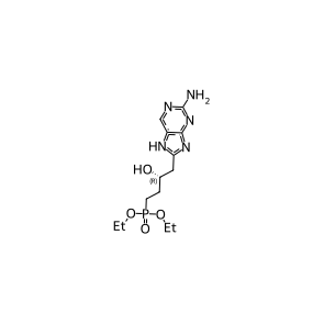 CCOP(=O)(CC[C@H](O)Cc1nc2nc(N)ncc2[nH]1)OCC